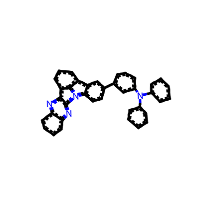 c1ccc(N(c2ccccc2)c2cccc(-c3ccc4c(c3)c3cccc5c6nc7ccccc7nc6n4c35)c2)cc1